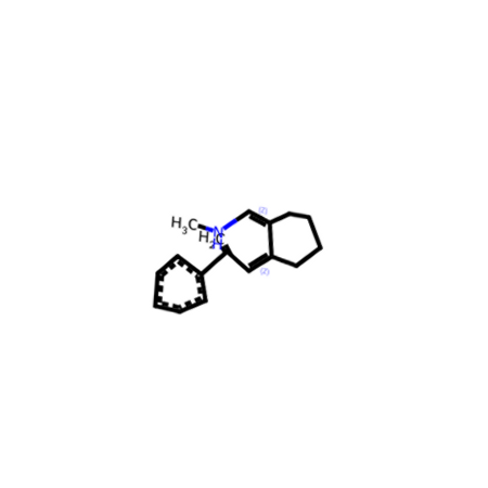 C=C(/C=C1/CCCC/C1=C/NC)c1ccccc1